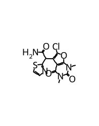 Cn1c(=O)c2c(C(C(N)=O)c3nccs3)c(Cl)oc2n(C)c1=O